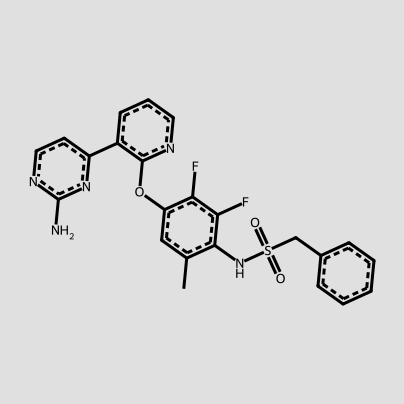 Cc1cc(Oc2ncccc2-c2ccnc(N)n2)c(F)c(F)c1NS(=O)(=O)Cc1ccccc1